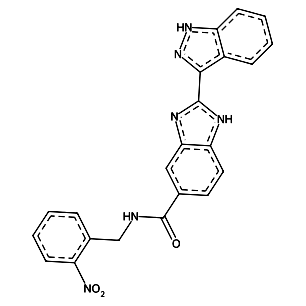 O=C(NCc1ccccc1[N+](=O)[O-])c1ccc2[nH]c(-c3n[nH]c4ccccc34)nc2c1